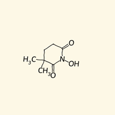 CC1(C)CCC(=O)N(O)C1=O